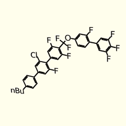 CCCCc1ccc(-c2cc(F)c(-c3cc(F)c(C(F)(F)Oc4ccc(-c5cc(F)c(F)c(F)c5)c(F)c4)c(F)c3)c(Cl)c2)cc1